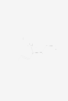 Cl.[CH2]C=CC(N)CCO